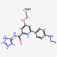 CCNc1ccc(-c2cc(OCC)cc(C(=O)Nc3nnn[nH]3)n2)cc1.[NaH]